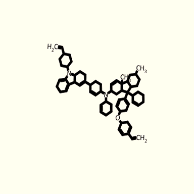 C=CC1=CCC(OC2C=CC(C3(C4C=CCCC4)C4CCC(C)CC4C4(C)C=CC(N(C5C=CCCC5)C5C=CC(C6=CC7C8=CCCC=C8N(C8CCC(C=C)CC8)C7CC6)CC5)CC43)=CC2)C=C1